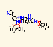 CC1(Nc2ccc(C(=O)Nc3cc(-c4cccnc4)ccc3NC(=O)OC(C)(C)C)cc2)CCN(C(=O)OC(C)(C)C)CC1